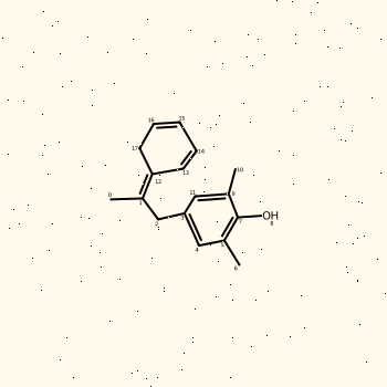 CC(Cc1cc(C)c(O)c(C)c1)=C1C=CC=CC1